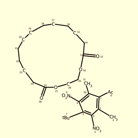 CC(=O)c1c(C)c([N+](=O)[O-])c(C(C)(C)C)c([N+](=O)[O-])c1C.O=C1CCCCCCCCCCCC(=O)OCCO1